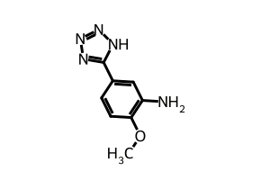 COc1ccc(-c2nnn[nH]2)cc1N